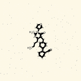 CCCCc1nc(C)n(-c2ccoc2)c(=O)c1Cc1ccc(-c2ccccc2C#N)cc1